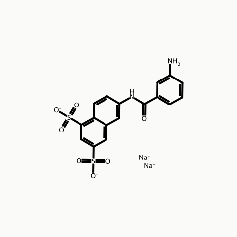 Nc1cccc(C(=O)Nc2ccc3c(S(=O)(=O)[O-])cc(S(=O)(=O)[O-])cc3c2)c1.[Na+].[Na+]